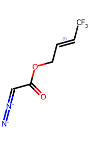 [N-]=[N+]=CC(=O)OC/C=C/C(F)(F)F